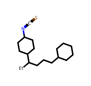 CCC(CCCC1CCCCC1)C1CCC(N=C=S)CC1